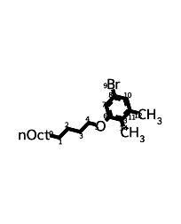 CCCCCCCCCCCCOc1cc(Br)cc(C)c1C